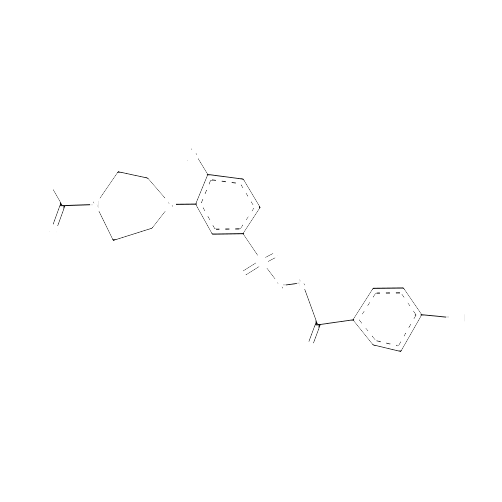 Nc1ccc(S(=O)(=O)NNC(=O)c2ccc(O)cc2)cc1N1CCN(C(=O)O)CC1